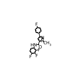 Cn1nc(-c2ccc(F)cc2)cc1C(=O)Nc1ccc(F)c(F)c1F